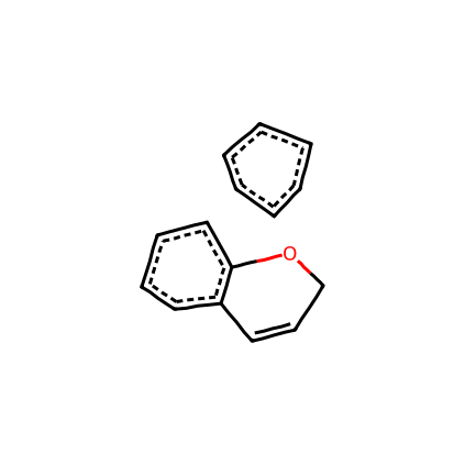 C1=Cc2ccccc2OC1.c1ccccc1